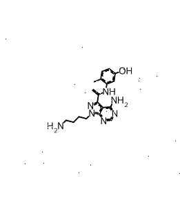 C=C(Nc1cc(O)ccc1C)c1nn(CCCCN)c2ncnc(N)c12